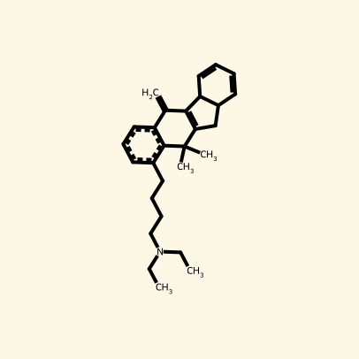 C=C1C2=C(CC3C=CC=CC23)C(C)(C)c2c(CCCCN(CC)CC)cccc21